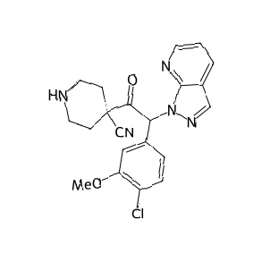 COc1cc(C(C(=O)C2(C#N)CCNCC2)n2ncc3cccnc32)ccc1Cl